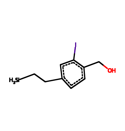 OCc1ccc(CC[SiH3])cc1I